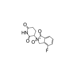 O=C1CCC([N+]2([O-])Cc3c(F)cccc3C2=O)C(=O)N1